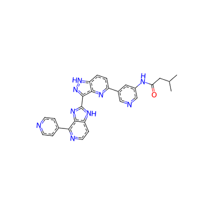 CC(C)CC(=O)Nc1cncc(-c2ccc3[nH]nc(-c4nc5c(-c6ccncc6)nccc5[nH]4)c3n2)c1